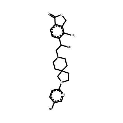 Cc1c(C(O)CN2CCC3(CC2)CCN(c2ccc(C#N)cn2)C3)ccc2c1COC2=O